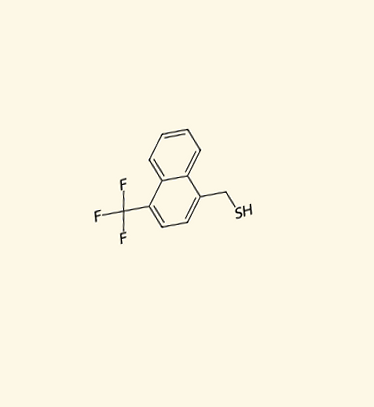 FC(F)(F)c1ccc(CS)c2ccccc12